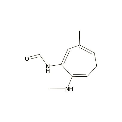 CNC1=CCC=C(C)C=C1NC=O